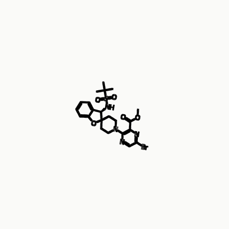 COC(=O)c1nc(Br)cnc1N1CCC2(CC1)Oc1ccccc1[C@H]2NS(=O)(=O)C(C)(C)C